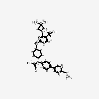 COc1ncc(-c2ccc(N(C(=O)O)[C@H]3CC[C@H](Nc4ncc(C(F)(F)F)c(N5CC(C)(O)C5)n4)CC3)nc2)cn1